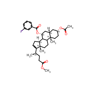 COC(=O)CC[C@@H](C)C1=CC[C@H]2C3C(CC[C@]12C)[C@@]1(C)CC[C@@H](OC(C)=O)C[C@H]1C[C@H]3OC(=O)c1cccc(I)c1